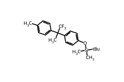 Cc1ccc(C(C)(c2ccc(O[Si](C)(C)C(C)(C)C)cc2)C(F)(F)F)cc1